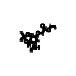 CCOC(=O)CO[C@H]1C[C@@H](NC)[C@@H]2OC(C)(C)OC12